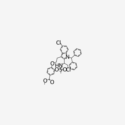 COC(=O)c1ccc(OCCc2c(C(CCl)NS(C)(=O)=O)n(C(c3ccccc3)c3ccccc3)c3ccc(Cl)cc23)cc1